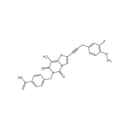 COc1ccc(CC#Cc2cn3c(=O)n(Cc4ccc(C(=O)O)cc4)c(=O)c(C)c3s2)cc1F